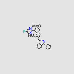 COc1ccc(C[C@]2(C(=O)O)C=C[C@H](N=C(c3ccccc3)c3ccccc3)C2)cc1-c1ncc(F)cn1